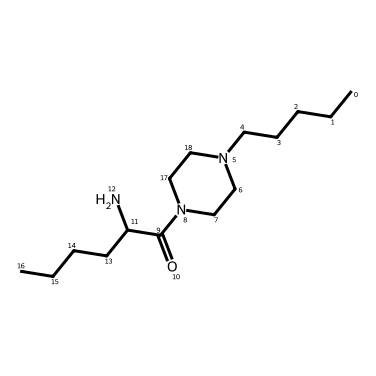 CCCCCN1CCN(C(=O)C(N)CCCC)CC1